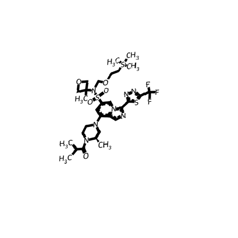 CC(C)C(=O)N1CCN(c2cc(S(=O)(=O)N(COCC[Si](C)(C)C)C3(C)COC3)cn3c(-c4nnc(C(F)(F)F)s4)ncc23)C[C@H]1C